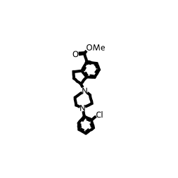 COC(=O)c1cccc2c1CCC2N1CCN(c2ccccc2Cl)CC1